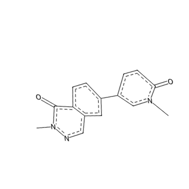 Cn1cc(-c2ccc3c(=O)n(C)ncc3c2)ccc1=O